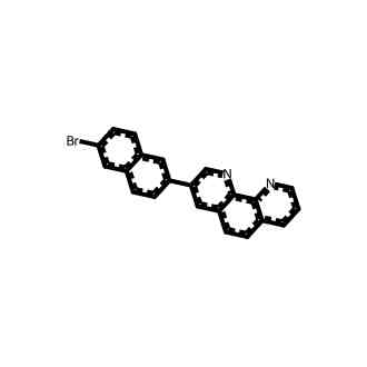 Brc1ccc2cc(-c3cnc4c(ccc5cccnc54)c3)ccc2c1